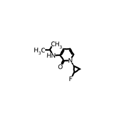 CC(C)Nc1cccn([C@H]2CC2F)c1=O